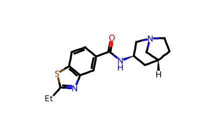 CCc1nc2cc(C(=O)N[C@@H]3C[C@H]4CCN(C4)C3)ccc2s1